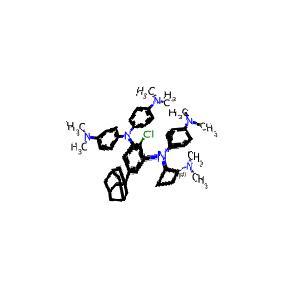 CN(C)c1ccc(N(c2ccc(N(C)C)cc2)c2cc(C34CC5CC(CC(C5)C3)C4)cc(N(c3ccc(N(C)C)cc3)C3CC[C@H]3N(C)C)c2Cl)cc1